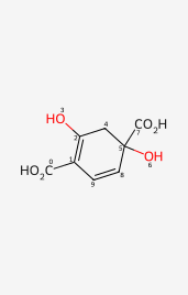 O=C(O)C1=C(O)CC(O)(C(=O)O)C=C1